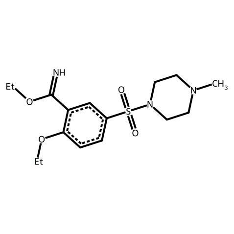 CCOC(=N)c1cc(S(=O)(=O)N2CCN(C)CC2)ccc1OCC